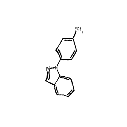 Nc1ccc(-n2ncc3c[c]ccc32)cc1